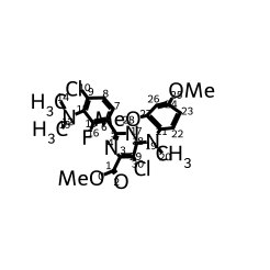 COC(=O)c1nc(-c2ccc(Cl)c(N(C)C)c2F)nc(N(C)c2ccc(OC)cc2OC)c1Cl